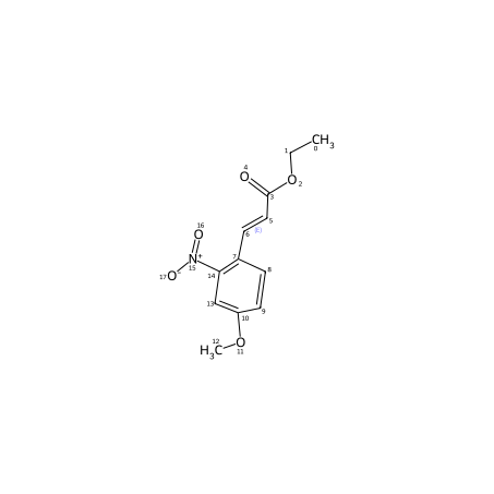 CCOC(=O)/C=C/c1ccc(OC)cc1[N+](=O)[O-]